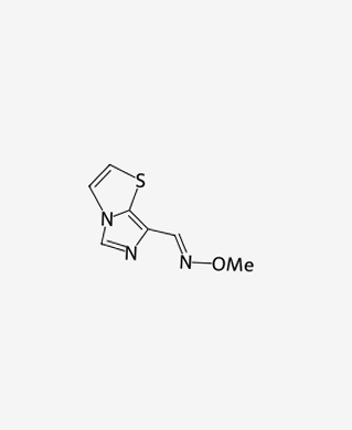 CON=Cc1ncn2ccsc12